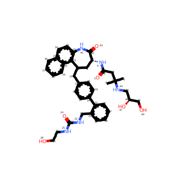 CC(C)(CC(=O)N[C@@H]1CC(Cc2ccc(-c3ccccc3CNC(=O)NCCO)cc2)c2c(ccc3ccccc23)NC1=O)NC[C@H](O)CO